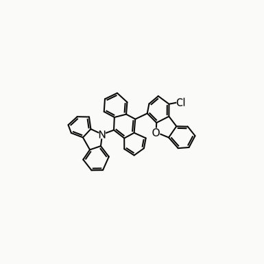 Clc1ccc(-c2c3ccccc3c(-n3c4ccccc4c4ccccc43)c3ccccc23)c2oc3ccccc3c12